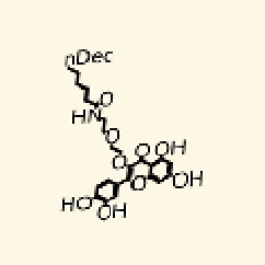 CCCCCCCCCCCCCCCC(=O)NCCOCCOc1c(-c2ccc(O)c(O)c2)oc2cc(O)cc(O)c2c1=O